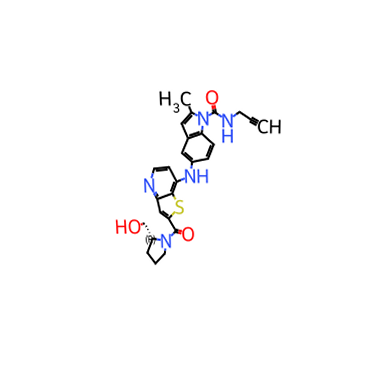 C#CCNC(=O)n1c(C)cc2cc(Nc3ccnc4cc(C(=O)N5CCC[C@@H]5CO)sc34)ccc21